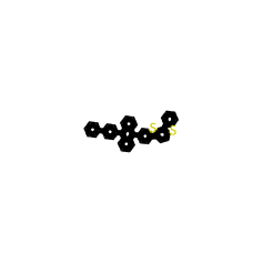 c1ccc(-c2ccc(-c3c4ccccc4c(-c4ccc5c(c4)sc4c5ccc5sc6ccccc6c54)c4ccccc34)cc2)cc1